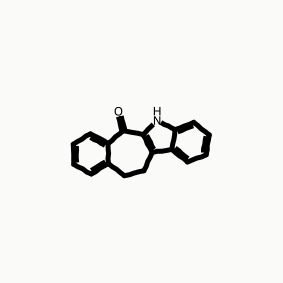 O=C1c2ccccc2CCc2c1[nH]c1ccccc21